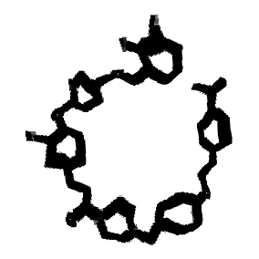 CC(C)c1ccc(CCOc2ccc(CN3CCN(C(=O)/C=C/c4ccc(Oc5ccc(OCc6cccc(F)c6F)cn5)c(F)c4)CC3)cc2)cc1